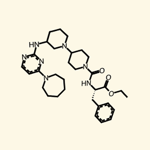 CCOC(=O)[C@H](Cc1ccccc1)NC(=O)N1CCC(N2CCCC(Nc3nccc(N4CCCCCC4)n3)C2)CC1